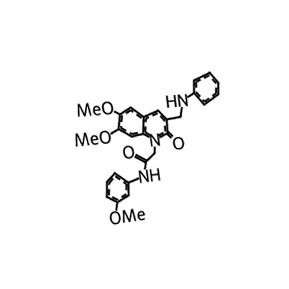 COc1cccc(NC(=O)Cn2c(=O)c(CNc3ccccc3)cc3cc(OC)c(OC)cc32)c1